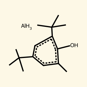 Cc1cc(C(C)(C)C)cc(C(C)(C)C)c1O.[AlH3]